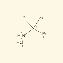 CC(C)C(C)(C)N.Cl